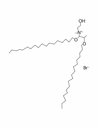 CCCCCCCCCCCCCCCCCCOC(C)C(OCCCCCCCCCCCCCCCCCC)[N+](C)(C)CCO.[Br-]